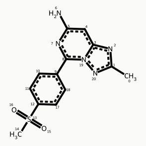 Cc1nc2cc(N)nc(-c3ccc(S(C)(=O)=O)cc3)n2n1